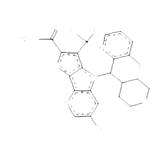 [2H]C([2H])([2H])c1c(C(=O)OC)sc2c3ncc(Br)cc3n(C(c3ncccc3F)C3CCOCC3)c12